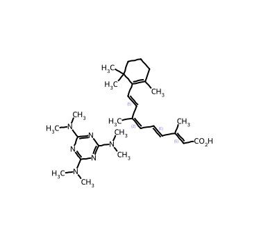 CC1=C(/C=C/C(C)=C\C=C\C(C)=C\C(=O)O)C(C)(C)CCC1.CN(C)c1nc(N(C)C)nc(N(C)C)n1